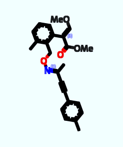 CO/C=C(/C(=O)OC)c1cccc(C)c1CO/N=C(\C)C#Cc1ccc(C)cc1